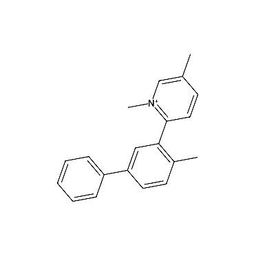 Cc1ccc(-c2cc(-c3ccccc3)ccc2C)[n+](C)c1